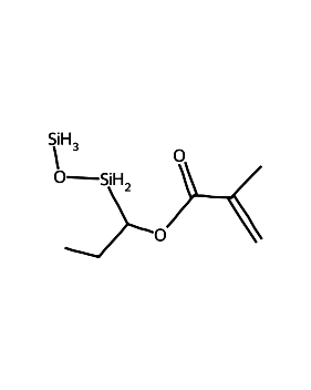 C=C(C)C(=O)OC(CC)[SiH2]O[SiH3]